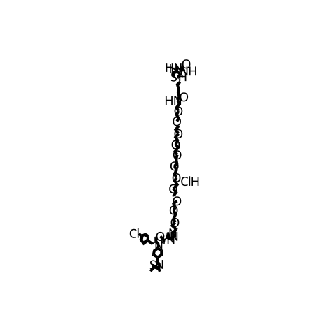 Cc1nc(C2CCC(N3C[C@H](c4cn(CCOCCOCCOCCOCCOCCOCCOCCOCCOCCOCCOCCNC(=O)CCCC[C@@H]5SC[C@@H]6NC(=O)N[C@@H]65)nn4)OC[C@@H]3Cc3ccc(Cl)cc3)CC2)sc1C.Cl